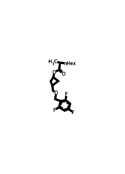 CCCCCCC(C)C(=O)OC1CC(COCc2c(F)cc(F)cc2F)C1